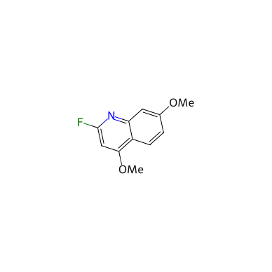 COc1ccc2c(OC)cc(F)nc2c1